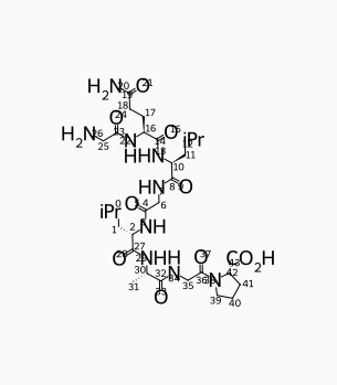 CC(C)C[C@H](NC(=O)CNC(=O)[C@H](CC(C)C)NC(=O)[C@H](CCC(N)=O)NC(=O)CN)C(=O)N[C@@H](C)C(=O)NCC(=O)N1CCC[C@H]1C(=O)O